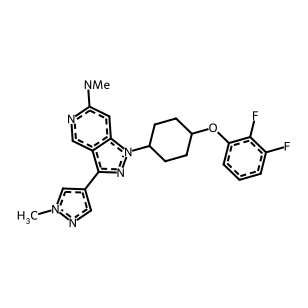 CNc1cc2c(cn1)c(-c1cnn(C)c1)nn2C1CCC(Oc2cccc(F)c2F)CC1